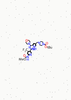 COC(=O)Nc1cc(C(F)(F)F)c(C(=N)/N=C(\c2cc(CN3CCN(C(=O)OC(C)(C)C)CC3)c[nH]2)N2CCOCC2)cn1